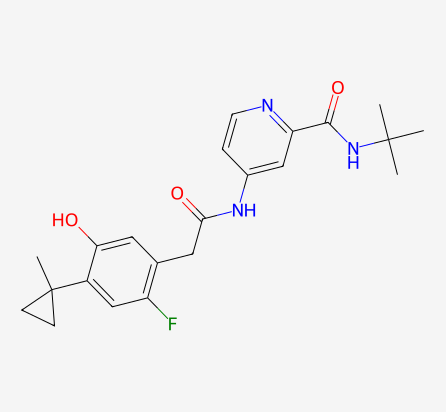 CC(C)(C)NC(=O)c1cc(NC(=O)Cc2cc(O)c(C3(C)CC3)cc2F)ccn1